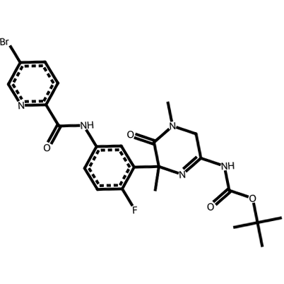 CN1CC(NC(=O)OC(C)(C)C)=NC(C)(c2cc(NC(=O)c3ccc(Br)cn3)ccc2F)C1=O